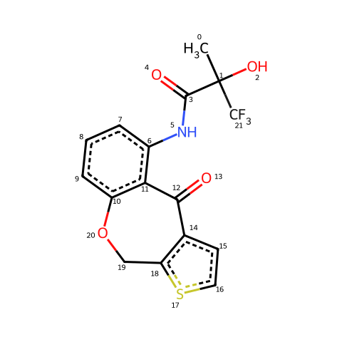 CC(O)(C(=O)Nc1cccc2c1C(=O)c1ccsc1CO2)C(F)(F)F